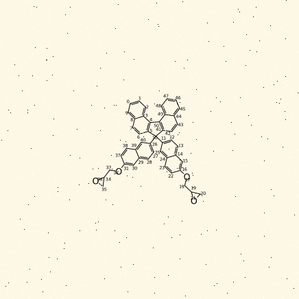 c1ccc2c3c(ccc2c1)C(c1ccc2cc(OCC4CO4)ccc2c1)(c1ccc2cc(OCC4CO4)ccc2c1)c1ccc2ccccc2c1-3